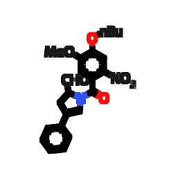 CCCCOc1cc([N+](=O)[O-])c(C(=O)N2C=C(c3ccccc3)CC2C=O)cc1OC